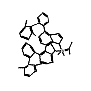 C[C](C)=[Hf]([CH3])([CH3])([CH]1C=Cc2c(-c3ccccc3-c3c(C)cccc3C)cccc21)[CH]1C=Cc2c(-c3ccccc3-c3c(C)cccc3C)cccc21